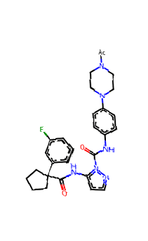 CC(=O)N1CCN(c2ccc(NC(=O)n3nccc3NC(=O)C3(c4cccc(F)c4)CCCC3)cc2)CC1